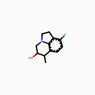 CC1c2ccc(F)c3c2N(CC3)CC1O